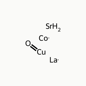 [Co].[La].[O]=[Cu].[SrH2]